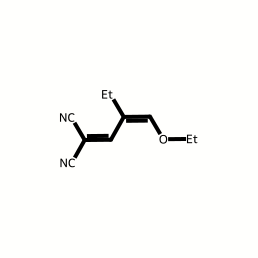 CCOC=C(C=C(C#N)C#N)CC